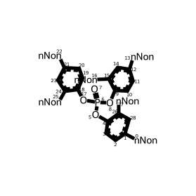 CCCCCCCCCc1ccc(OP(=O)(Oc2ccc(CCCCCCCCC)cc2CCCCCCCCC)Oc2ccc(CCCCCCCCC)cc2CCCCCCCCC)c(CCCCCCCCC)c1